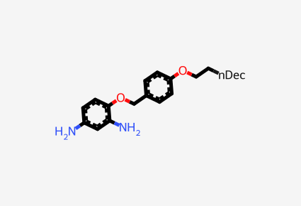 CCCCCCCCCCCCOc1ccc(COc2ccc(N)cc2N)cc1